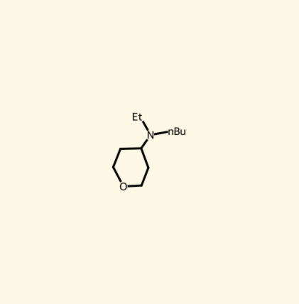 CCCCN(CC)C1CCOCC1